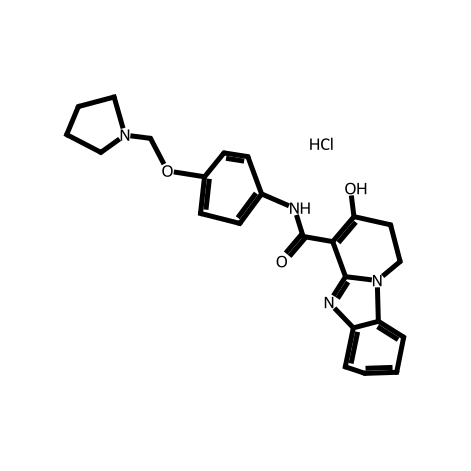 Cl.O=C(Nc1ccc(OCN2CCCC2)cc1)C1=C(O)CCn2c1nc1ccccc12